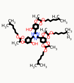 CC(C)CCCCCOC(=O)C(C)Oc1ccc(-c2nc(-c3ccc(OC(C)C(=O)OCCCCCC(C)C)cc3O)nc(-c3ccc(OC(C)C(=O)OCCCCCC(C)C)cc3OC(C)C(=O)OCCCCCC(C)C)n2)c(O)c1